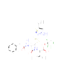 C=C(C)C(C(=O)OC(Cl)(Cl)CCl)N1C(=O)C(NC(=O)Cc2ccccc2)C1SSN1NC=C(C)S1